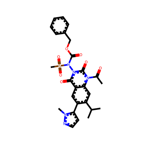 CC(=O)n1c(=O)n(N(C(=O)OCc2ccccc2)S(C)(=O)=O)c(=O)c2cc(-c3ccnn3C)c(C(C)C)cc21